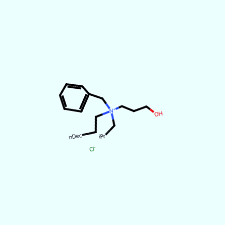 CCCCCCCCCCCC[N+](CCCO)(Cc1ccccc1)CC(C)C.[Cl-]